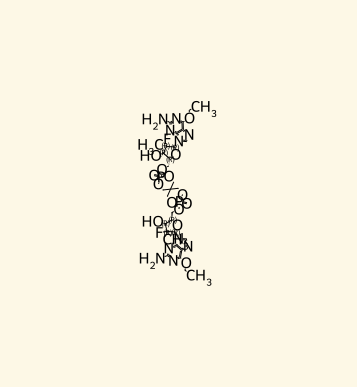 CCOc1nc(N)nc2c1ncn2[C@@H]1O[C@H](COP2(=O)OCC3(CO2)COP(=O)(OC[C@H]2O[C@@H](n4cnc5c(OCC)nc(N)nc54)[C@](C)(F)[C@@H]2O)OC3)[C@@H](O)[C@@]1(C)F